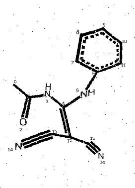 CC(=O)NC(Nc1ccccc1)=C(C#N)C#N